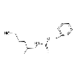 CC(CCCO)CNC(=O)OCc1ccccc1